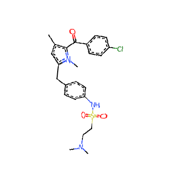 Cc1cc(Cc2ccc(NS(=O)(=O)CCN(C)C)cc2)n(C)c1C(=O)c1ccc(Cl)cc1